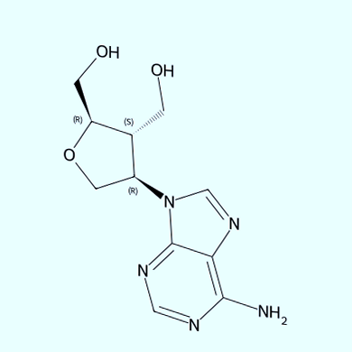 Nc1ncnc2c1ncn2[C@H]1CO[C@@H](CO)[C@@H]1CO